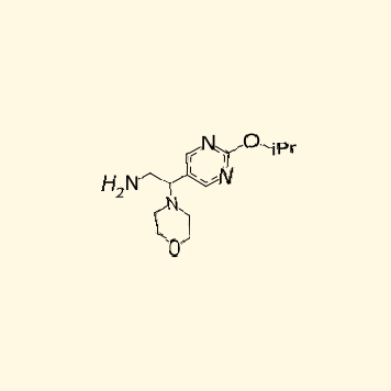 CC(C)Oc1ncc(C(CN)N2CCOCC2)cn1